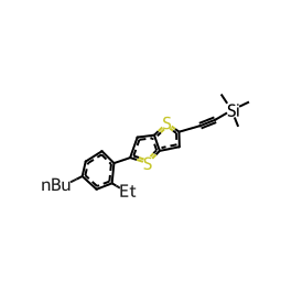 CCCCc1ccc(-c2cc3sc(C#C[Si](C)(C)C)cc3s2)c(CC)c1